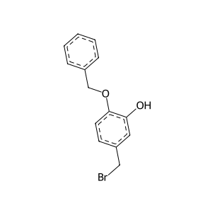 Oc1cc(CBr)ccc1OCc1ccccc1